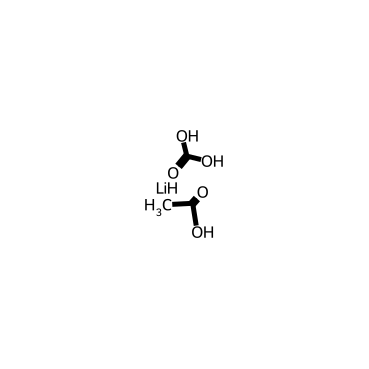 CC(=O)O.O=C(O)O.[LiH]